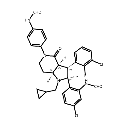 C[C@@]1(c2ccc(Cl)cc2NC=O)[C@@H](c2cccc(Cl)c2F)[C@@H]2C(=O)N(c3ccc(NC=O)cc3)CC[C@@H]2N1CC1CC1